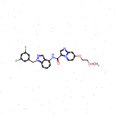 COCCOc1ccn2c(C(=O)Nc3cccc4c3cnn4Cc3cc(F)cc(F)c3)cnc2c1